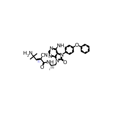 C[C@@H](Cn1c(=O)n(-c2ccc(Oc3ccccc3)cc2)c2c(N)ncnc21)NC(=O)/C(C#N)=C/C(C)(C)N